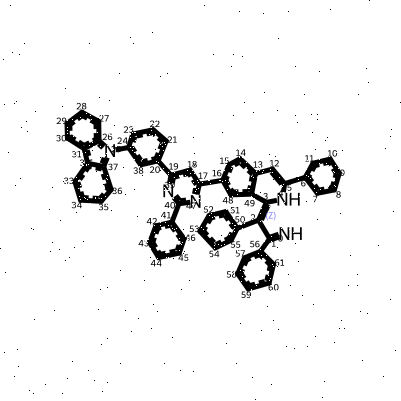 N=C(/C(=C1\NC(c2ccccc2)=Cc2ccc(-c3cc(-c4cccc(-n5c6ccccc6c6ccccc65)c4)nc(-c4ccccc4)n3)cc21)c1ccccc1)c1ccccc1